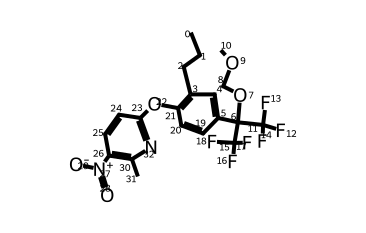 CCCc1cc(C(OCOC)(C(F)(F)F)C(F)(F)F)ccc1Oc1ccc([N+](=O)[O-])c(C)n1